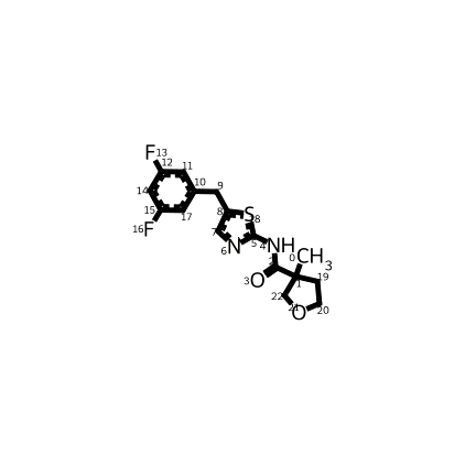 CC1(C(=O)Nc2ncc(Cc3cc(F)cc(F)c3)s2)CCOC1